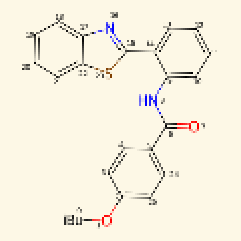 CCC(C)Oc1ccc(C(=O)Nc2ccccc2-c2nc3ccccc3s2)cc1